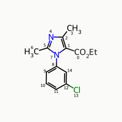 CCOC(=O)c1c(C)nc(C)n1-c1cccc(Cl)c1